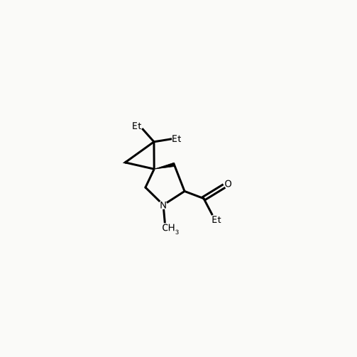 CCC(=O)C1C[C@@]2(CN1C)CC2(CC)CC